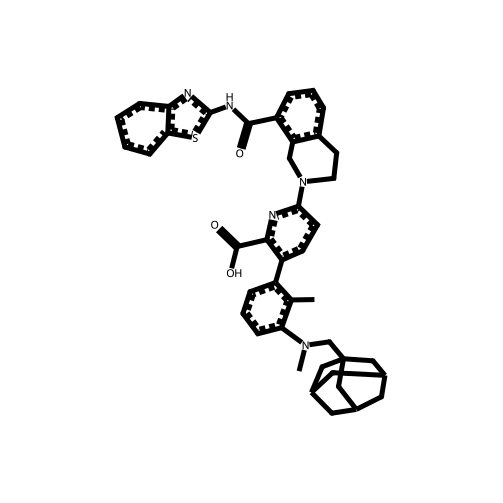 Cc1c(-c2ccc(N3CCc4cccc(C(=O)Nc5nc6ccccc6s5)c4C3)nc2C(=O)O)cccc1N(C)CC12CC3CC(CC(C3)C1)C2